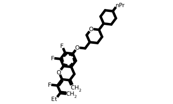 C=C(CC)/C(F)=C1/Oc2c(cc(OCC3CCC(C4CCC(CCC)CC4)OC3)c(F)c2F)CC1=C